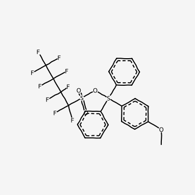 COc1ccc(S(OS(=O)(=O)C(F)(F)C(F)(F)C(F)(F)C(F)(F)F)(c2ccccc2)c2ccccc2)cc1